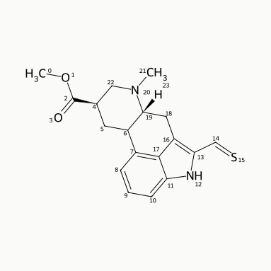 COC(=O)[C@@H]1CC2c3cccc4[nH]c(C=S)c(c34)C[C@H]2N(C)C1